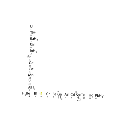 [AlH3].[As].[B].[BaH2].[BeH2].[Cd].[Co].[Cr].[Fe].[GaH3].[Ge].[Hg].[InH3].[Mn].[PbH2].[S].[Sb].[Se].[SnH2].[Te].[TlH].[U].[V]